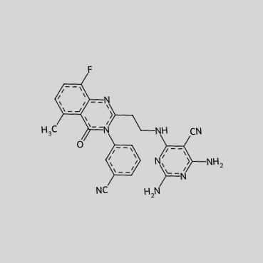 Cc1ccc(F)c2nc(CCNc3nc(N)nc(N)c3C#N)n(-c3cccc(C#N)c3)c(=O)c12